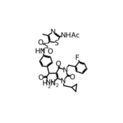 CC(=O)Nc1nc(C)c(S(=O)(=O)Nc2ccc(C(C(N)=O)c3c(N)n(CC4CC4)c(=O)n(Cc4ccccc4F)c3=O)cc2)s1